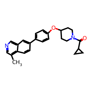 Cc1cncc2cc(-c3ccc(OC4CCN(C(=O)C5CC5)CC4)cc3)ccc12